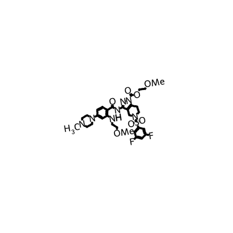 COCCNc1cc(N2CCN(C)CC2)ccc1C(=O)Nc1nn(C(=O)OCCOC)c2c1CN(S(=O)(=O)c1cc(F)cc(F)c1)CC2